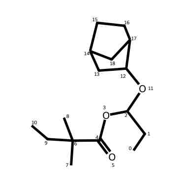 CCC(OC(=O)C(C)(C)CC)OC1CC2CCC1C2